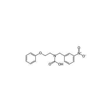 O=C(O)N(CCOc1ccccc1)Cc1cccc([N+](=O)[O-])c1